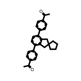 CC(=O)c1ccc(-c2ccc(-c3ccc(C(C)=O)cc3)c3c2CC2(CCCC2)C3)cc1